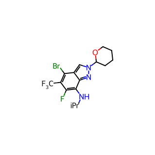 CC(C)Nc1c(F)c(C(F)(F)F)c(Br)c2cn(C3CCCCO3)nc12